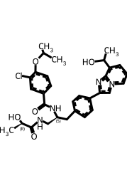 CC(C)Oc1ccc(C(=O)N[C@H](CNC(=O)[C@@H](C)O)Cc2ccc(-c3cn4cccc(C(C)O)c4n3)cc2)cc1Cl